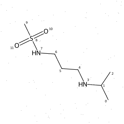 CC(C)NCCCNS(C)(=O)=O